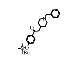 CC(C)(C)[Si](C)(C)Oc1ccc(C(=O)CC2CCN(Cc3ccccc3)CC2)cc1